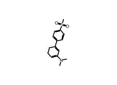 CN(C)C1=CC[CH]C(c2ccc(S(C)(=O)=O)cc2)=C1